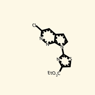 CCOC(=O)c1csc(-n2ccc3cc(Cl)nnc32)n1